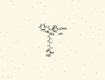 COC(=O)[C@H](CC(C)C)NC(=O)[C@@H]1Cc2ccccc2CN1C(=O)CCCCCCC(=O)NO